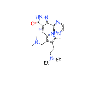 CCN(CC)CCc1c(C)[nH]c(/C=C2/C(=O)NN=C2c2cnccn2)c1CN(C)C